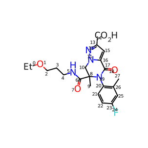 CCOCCCNC(=O)C1(C)Cn2nc(C(=O)O)cc2C(=O)N1c1ccc(F)cc1C